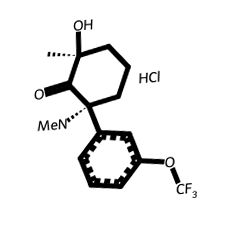 CN[C@@]1(c2cccc(OC(F)(F)F)c2)CCC[C@](C)(O)C1=O.Cl